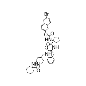 NC1(C(=O)N2CCC(CNC(=O)[C@@H](Cc3ccccc3)NC(=O)C3(NC(=O)Oc4ccc5cc(Br)ccc5c4)CCCC3)CC2)CCCCC1